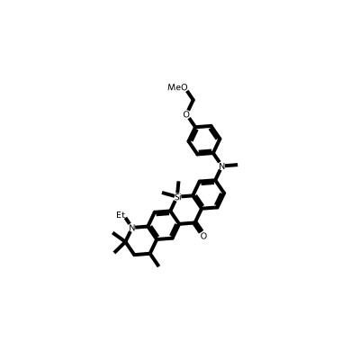 CCN1c2cc3c(cc2C(C)CC1(C)C)C(=O)c1ccc(N(C)c2ccc(OCOC)cc2)cc1[Si]3(C)C